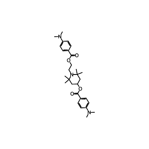 CN(C)c1ccc(C(=O)OCCN2C(C)(C)CC(OC(=O)c3ccc(N(C)C)cc3)CC2(C)C)cc1